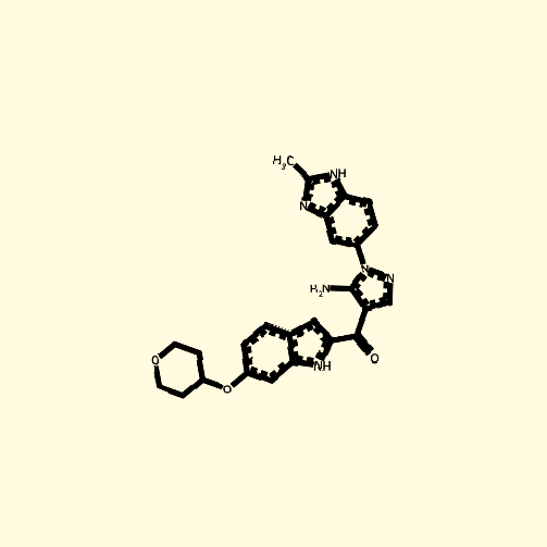 Cc1nc2cc(-n3ncc(C(=O)c4cc5ccc(OC6CCOCC6)cc5[nH]4)c3N)ccc2[nH]1